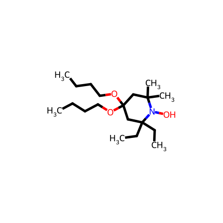 CCCCOC1(OCCCC)CC(C)(C)N(O)C(CC)(CC)C1